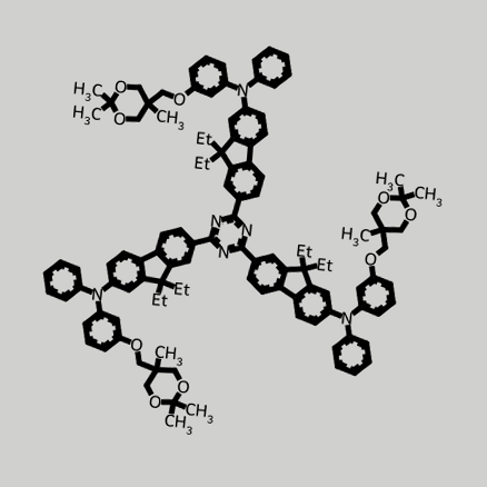 CCC1(CC)c2cc(-c3nc(-c4ccc5c(c4)C(CC)(CC)c4cc(N(c6ccccc6)c6cccc(OCC7(C)COC(C)(C)OC7)c6)ccc4-5)nc(-c4ccc5c(c4)C(CC)(CC)c4cc(N(c6ccccc6)c6cccc(OCC7(C)COC(C)(C)OC7)c6)ccc4-5)n3)ccc2-c2ccc(N(c3ccccc3)c3cccc(OCC4(C)COC(C)(C)OC4)c3)cc21